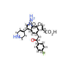 Nn1cc(C2=CCNCC2)c2cc(CC(=O)c3ccc(F)cc3)ccc21.O=C(O)/C=C/C(=O)O